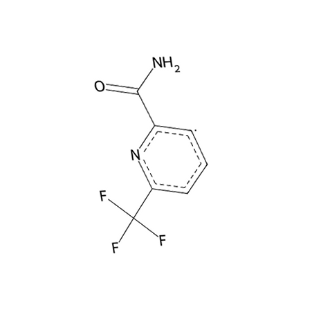 NC(=O)c1[c]ccc(C(F)(F)F)n1